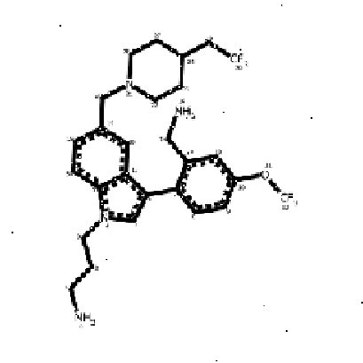 NCCCn1cc(-c2ccc(OC(F)(F)F)cc2CN)c2cc(CN3CCC(CC(F)(F)F)CC3)ccc21